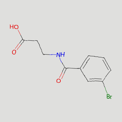 O=C(O)CCNC(=O)c1cccc(Br)c1